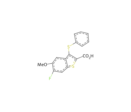 COc1cc2c(Sc3ccccc3)c(C(=O)O)sc2cc1F